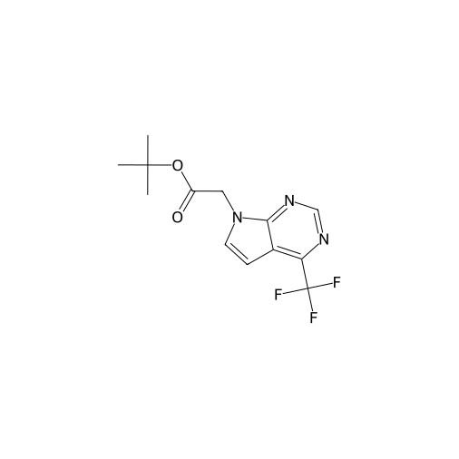 CC(C)(C)OC(=O)Cn1ccc2c(C(F)(F)F)ncnc21